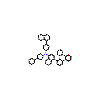 c1ccc(-c2ccc(N(c3ccc(-c4cccc5ccccc45)cc3)c3ccc(-c4cccc(-c5ccccc5)c4-c4ccccc4-c4ccccc4)c4ccccc34)cc2)cc1